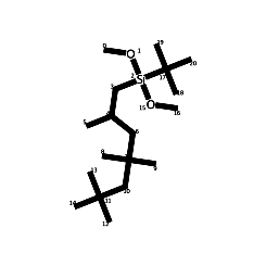 CO[Si](CC(C)CC(C)(C)CC(C)(C)C)(OC)C(C)(C)C